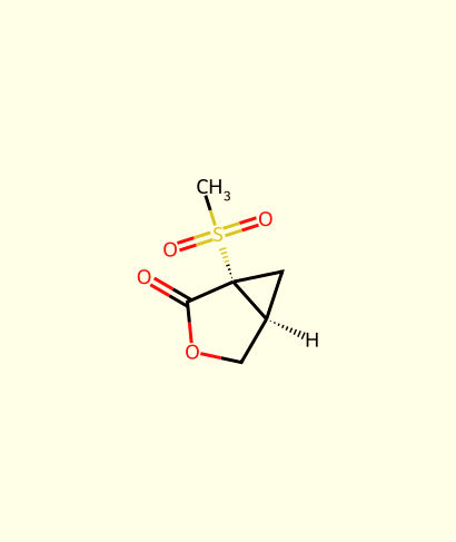 CS(=O)(=O)[C@]12C[C@H]1COC2=O